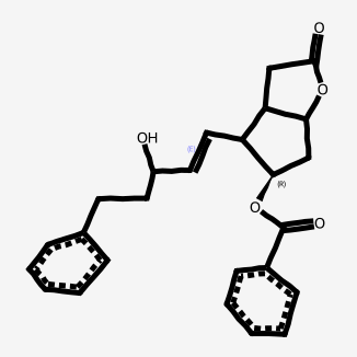 O=C1CC2C(C[C@@H](OC(=O)c3ccccc3)C2/C=C/C(O)CCc2ccccc2)O1